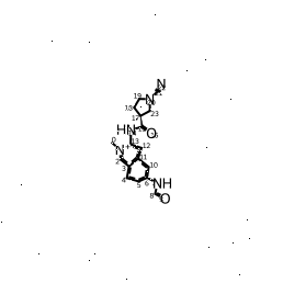 C[n+]1cc2ccc(NC=O)cc2cc1NC(=O)[C@H]1CCN(C#N)C1